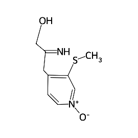 CSc1c[n+]([O-])ccc1CC(=N)CO